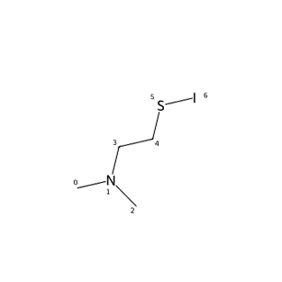 CN(C)CCSI